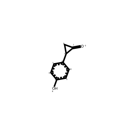 O=C1CC1c1ccc(O)cc1